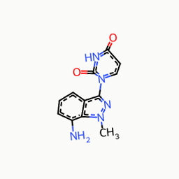 Cn1nc(-n2ccc(=O)[nH]c2=O)c2cccc(N)c21